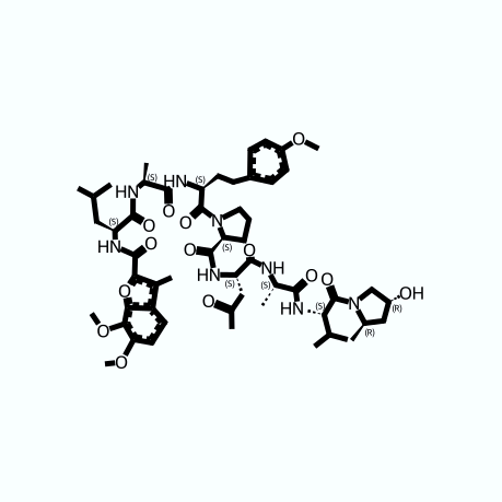 COc1ccc(CC[C@H](NC(=O)[C@H](C)NC(=O)[C@H](CC(C)C)NC(=O)c2oc3c(OC)c(OC)ccc3c2C)C(=O)N2CCC[C@H]2C(=O)N[C@@H](CC(C)=O)C(=O)N[C@@H](C)C(=O)N[C@H](C(=O)N2C[C@H](O)C[C@H]2C)C(C)C)cc1